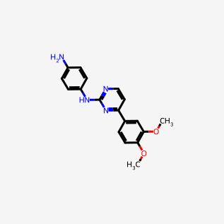 COc1ccc(-c2ccnc(Nc3ccc(N)cc3)n2)cc1OC